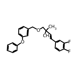 CC(C)(C=Cc1ccc(F)c(F)c1)COCc1cccc(Oc2ccccc2)c1